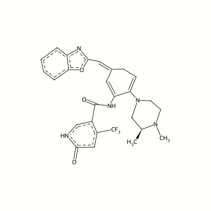 C[C@H]1CN(C2=CCC(=Cc3nc4ccccc4o3)C=C2NC(=O)c2c[nH]c(=O)cc2C(F)(F)F)CCN1C